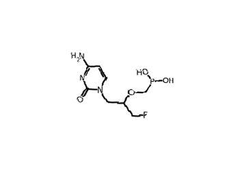 Nc1ccn(CC(CF)OCP(O)O)c(=O)n1